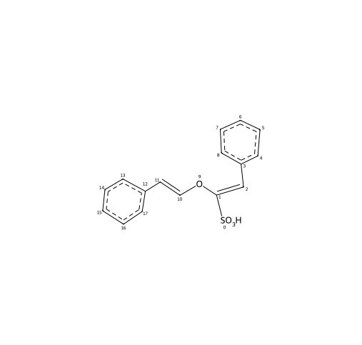 O=S(=O)(O)C(=Cc1ccccc1)OC=Cc1ccccc1